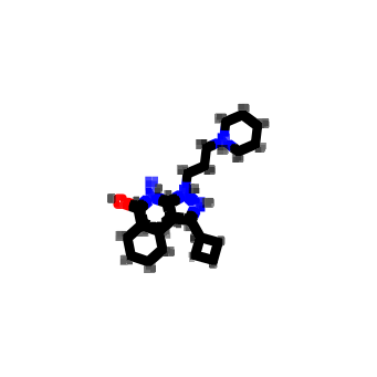 O=c1[nH]c2c(c(C3CCC3)nn2CCCN2CCCCC2)c2c1CCCC2